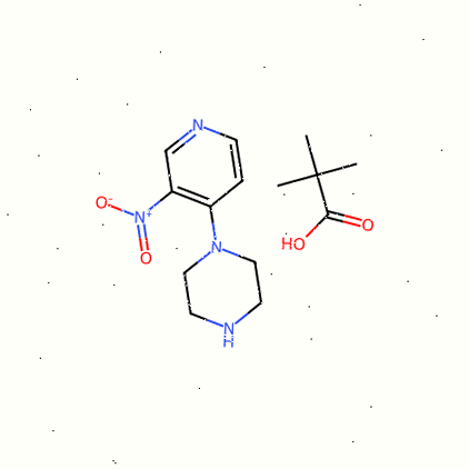 CC(C)(C)C(=O)O.O=[N+]([O-])c1cnccc1N1CCNCC1